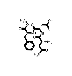 COC(=O)[C@H](Cc1ccccc1)NC(=O)[C@H](CC(=O)O)NC(=O)[C@H](N)CC(N)=O